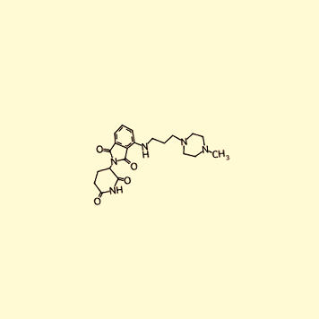 CN1CCN(CCCNc2cccc3c2C(=O)N(C2CCC(=O)NC2=O)C3=O)CC1